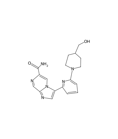 NC(=O)c1cn2c(-c3cccc(N4CCC(CO)CC4)n3)cnc2cn1